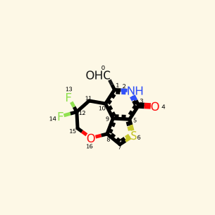 O=Cc1[nH]c(=O)c2scc3c2c1CC(F)(F)CO3